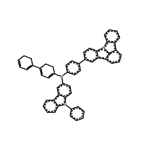 C1=CCCC(C2=CC=C(N(c3ccc(-c4ccc5c(c4)c4cccc6c7ccccc7n5c64)cc3)c3ccc4c(c3)c3ccccc3n4-c3ccccc3)CC2)=C1